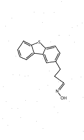 ON=CCCc1ccc2sc3ccccc3c2c1